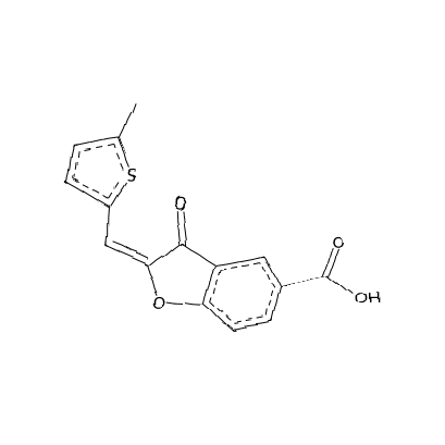 Cc1ccc(C=C2Oc3ccc(C(=O)O)cc3C2=O)s1